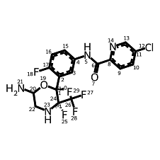 C[C@]1(c2cc(NC(=O)c3ccc(Cl)cn3)ccc2F)OC(N)CN[C@]1(F)C(F)(F)F